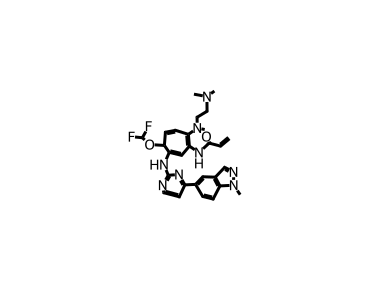 C=CC(=O)NC1=C(N(C)CCN(C)C)C=CC(OC(F)F)C(Nc2nccc(-c3ccc4c(cnn4C)c3)n2)=C1